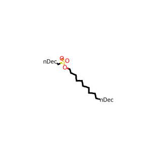 CCCCCCCCCCCCCCCCCCCCOS(=O)(=O)CCCCCCCCCCC